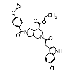 CCOC(=O)C1CN(C(=O)Cc2c[nH]c3cc(Cl)ccc23)CC2CN(C(=O)c3ccc(OC4CC4)cc3)CC21